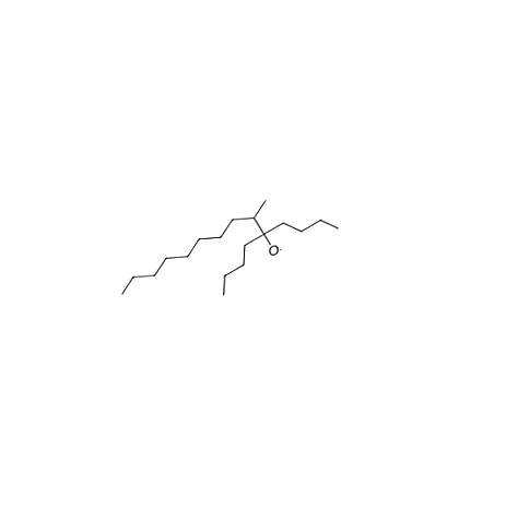 CCCCCCCCC(C)C([O])(CCCC)CCCC